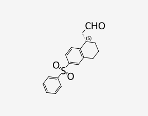 O=CC[C@@H]1CCCc2cc(S(=O)(=O)c3ccccc3)ccc21